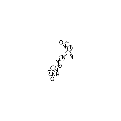 COc1ccc2ncc(C#N)c(CCN3CCC(N(C)C(=O)c4ccc5c(n4)NC(=O)CS5)CC3)c2n1